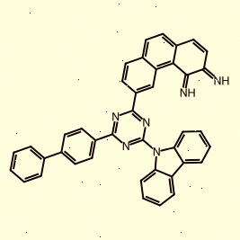 N=C1C=Cc2ccc3ccc(-c4nc(-c5ccc(-c6ccccc6)cc5)nc(-n5c6ccccc6c6ccccc65)n4)cc3c2C1=N